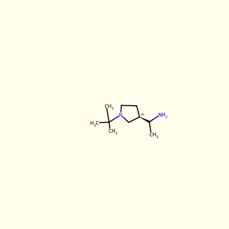 CC(N)[C@@H]1CCN(C(C)(C)C)C1